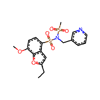 CCc1cc2c(S(=O)(=O)N(Cc3cccnc3)S(C)(=O)=O)ccc(OC)c2o1